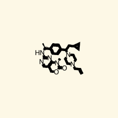 C=CCN1CCN(C(CC2CC2)c2ccc([C@H](C)Nc3ncc4c(n3)N(C)C(=O)OC4)cc2)CC1